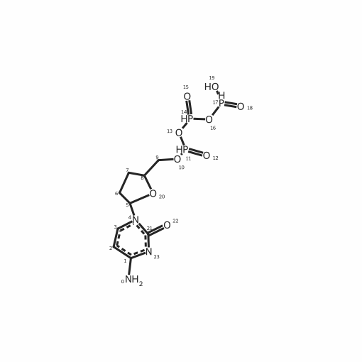 Nc1ccn(C2CCC(CO[PH](=O)O[PH](=O)O[PH](=O)O)O2)c(=O)n1